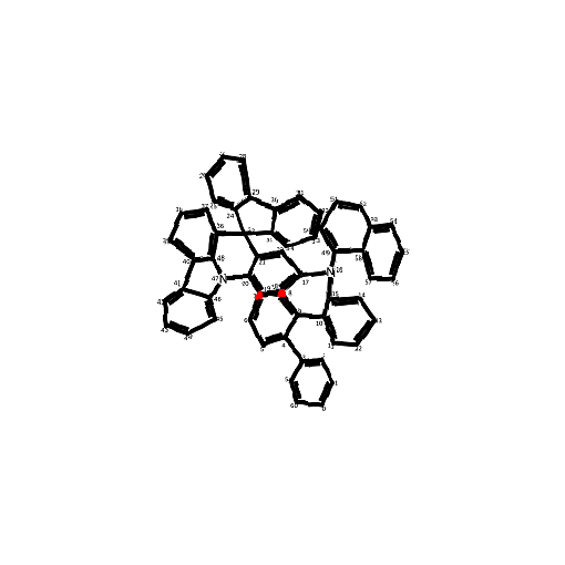 c1ccc(-c2ccccc2-c2ccccc2N(c2ccc3c(c2)C2(c4ccccc4-c4ccccc42)c2cccc4c5ccccc5n-3c24)c2cccc3ccccc23)cc1